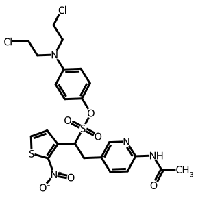 CC(=O)Nc1ccc(CC(c2ccsc2[N+](=O)[O-])S(=O)(=O)Oc2ccc(N(CCCl)CCCl)cc2)cn1